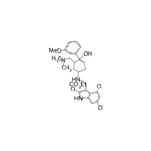 CCOC(=O)Oc1[nH]c2cc(Cl)cc(Cl)c2c1CNC1CCC(O)(c2cccc(OC)c2)C(CN(C)C)C1